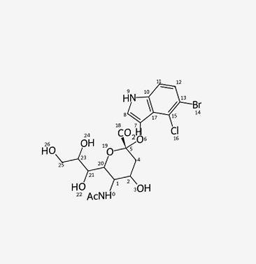 CC(=O)NC1C(O)C[C@](Oc2c[nH]c3ccc(Br)c(Cl)c23)(C(=O)O)OC1C(O)C(O)CO